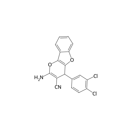 N#CC1=C(N)Oc2c(oc3ccccc23)C1c1ccc(Cl)c(Cl)c1